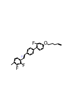 C=CCCCOc1ccc(-c2ccc(/C=C/c3ccc(C)c(F)c3F)cc2)c(F)c1